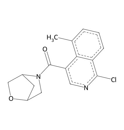 Cc1cccc2c(Cl)ncc(C(=O)N3CC4CC3CO4)c12